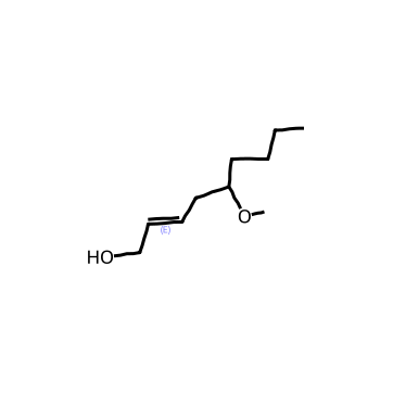 CCCCC(C/C=C/CO)OC